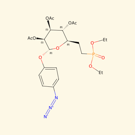 CCOP(=O)(CC[C@H]1O[C@H](Oc2ccc(N=[N+]=[N-])cc2)[C@@H](OC(C)=O)[C@@H](OC(C)=O)[C@@H]1OC(C)=O)OCC